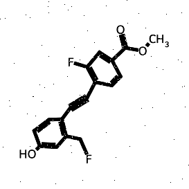 COC(=O)c1ccc(C#Cc2ccc(O)cc2CF)c(F)c1